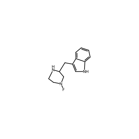 FN1CCNC(Cc2c[nH]c3ccccc23)C1